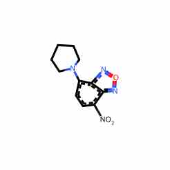 O=[N+]([O-])c1ccc(N2CCCCC2)c2nonc12